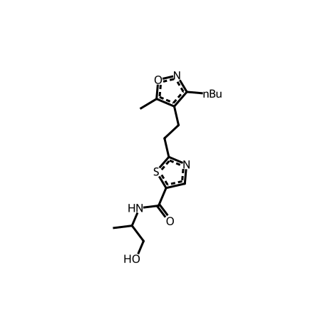 CCCCc1noc(C)c1CCc1ncc(C(=O)NC(C)CO)s1